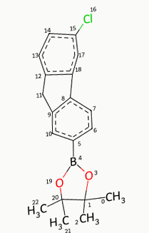 CC1(C)OB(c2ccc3c(c2)Cc2ccc(Cl)cc2-3)OC1(C)C